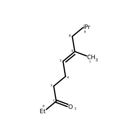 CCC(=O)CC/C=C(\C)CC(C)C